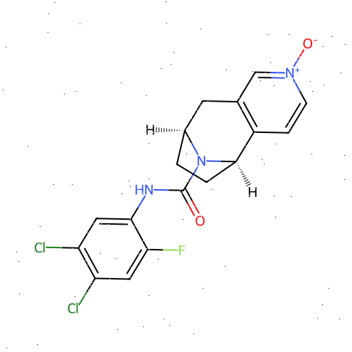 O=C(Nc1cc(Cl)c(Cl)cc1F)N1[C@H]2CC[C@@H]1c1cc[n+]([O-])cc1C2